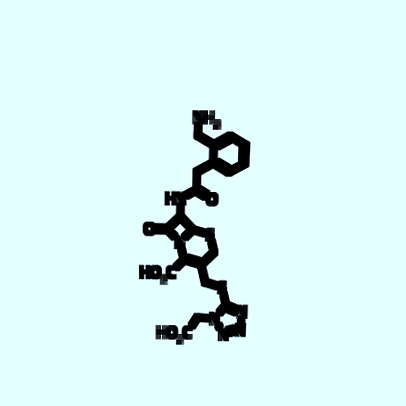 NCc1ccccc1CC(=O)NC1C(=O)N2C(C(=O)O)=C(CSc3nnnn3CC(=O)O)CSC12